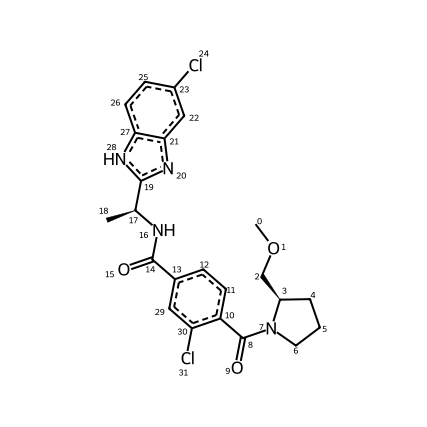 COC[C@H]1CCCN1C(=O)c1ccc(C(=O)N[C@@H](C)c2nc3cc(Cl)ccc3[nH]2)cc1Cl